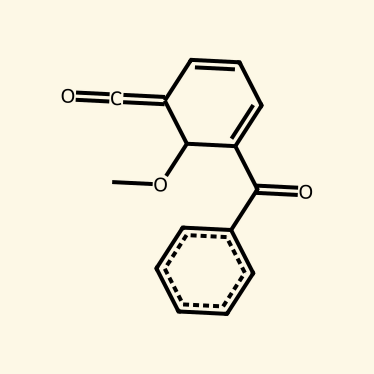 COC1C(=C=O)C=CC=C1C(=O)c1ccccc1